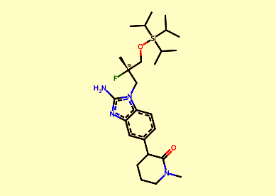 CC(C)[Si](OC[C@@](C)(F)Cn1c(N)nc2cc(C3CCCN(C)C3=O)ccc21)(C(C)C)C(C)C